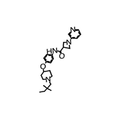 CCC(C)(C)CN1CCC(Oc2ccc(NC(=O)C3CN(c4cccnc4)C3)cc2)CC1